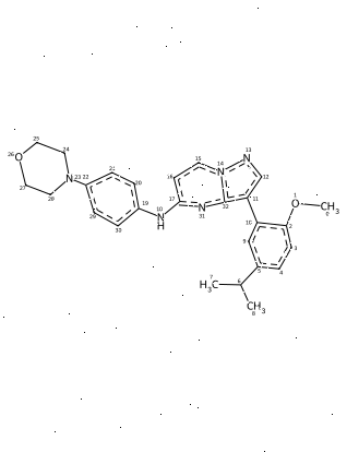 COc1ccc(C(C)C)cc1-c1cnn2ccc(Nc3ccc(N4CCOCC4)cc3)nc12